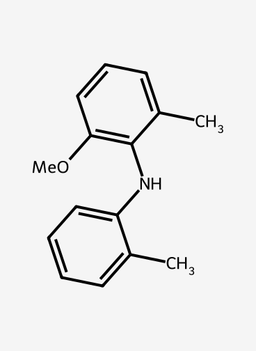 COc1cccc(C)c1Nc1ccccc1C